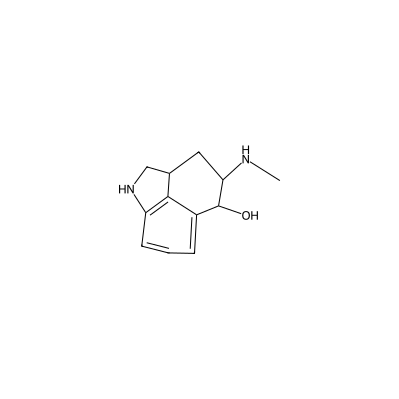 CNC1CC2CNc3cccc(c32)C1O